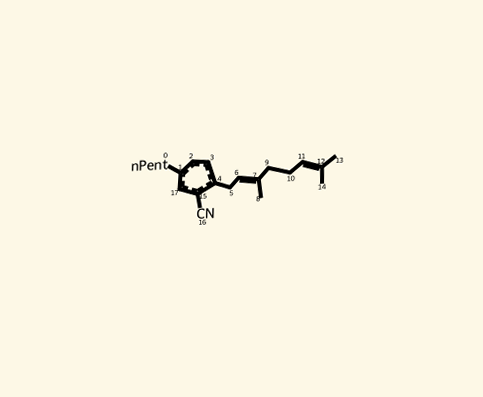 CCCCCc1ccc(C/C=C(\C)CCC=C(C)C)c(C#N)c1